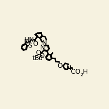 Cc1c(CCCOC2CCN(CC(=O)O)CC2)cccc1-c1ccc(N2CCc3cccc(C(=O)Nc4nc5ccccc5s4)c3C2)nc1C(=O)OC(C)(C)C